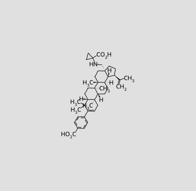 C=C(C)[C@@H]1CC[C@]2(CNC3(C(=O)O)CC3)CC[C@]3(C)[C@H](CC[C@@H]4[C@@]5(C)CC=C(c6ccc(C(=O)O)cc6)C(C)(C)[C@@H]5CC[C@]43C)[C@@H]12